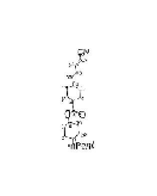 CCCCCC1CCC(OC(=O)C2CCC(CC/C=C/C#N)CC2)CC1